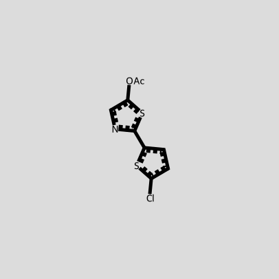 CC(=O)Oc1cnc(-c2ccc(Cl)s2)s1